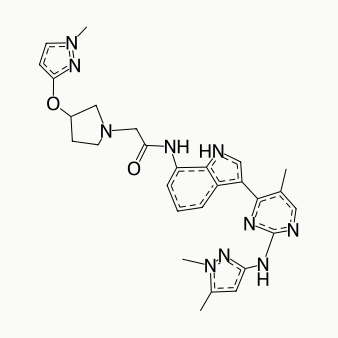 Cc1cnc(Nc2cc(C)n(C)n2)nc1-c1c[nH]c2c(NC(=O)CN3CCC(Oc4ccn(C)n4)C3)cccc12